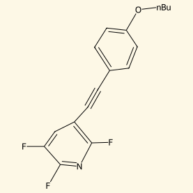 CCCCOc1ccc(C#Cc2cc(F)c(F)nc2F)cc1